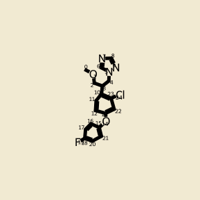 COCC(Cn1cncn1)c1ccc(Oc2ccc(F)cc2)cc1Cl